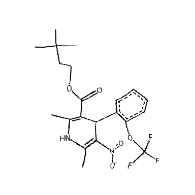 CC1=C(C(=O)OCCC(C)(C)C)C(c2ccccc2OC(F)(F)F)C([N+](=O)[O-])=C(C)N1